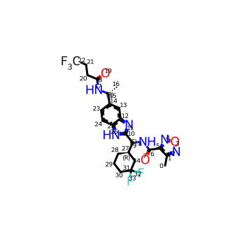 Cc1nonc1C(=O)N[C@H](c1nc2cc([C@@H](C)NC(=O)CCC(F)(F)F)ccc2[nH]1)[C@@H]1CCCC(F)(F)C1